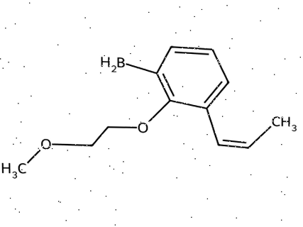 Bc1cccc(/C=C\C)c1OCCOC